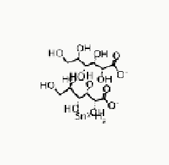 O=C([O-])[C@H](O)[C@@H](O)[C@H](O)[C@H](O)CO.O=C([O-])[C@H](O)[C@@H](O)[C@H](O)[C@H](O)CO.[SnH2+2]